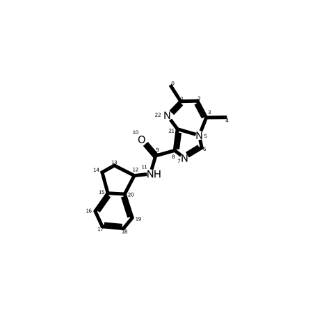 Cc1cc(C)n2cnc(C(=O)NC3CCc4ccccc43)c2n1